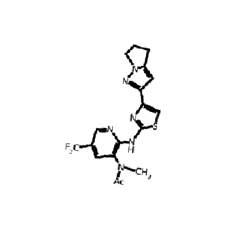 CC(=O)N(C)c1cc(C(F)(F)F)cnc1Nc1nc(-c2cc3n(n2)CCC3)cs1